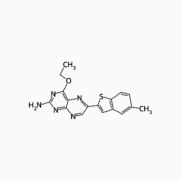 CCOc1nc(N)nc2ncc(-c3cc4cc(C)ccc4s3)nc12